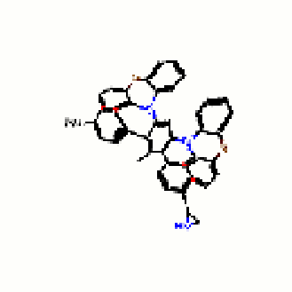 Cc1c(-c2ccc(C#N)cc2)c(N2c3ccccc3Sc3ccccc32)cc(N2c3ccccc3Sc3ccccc32)c1-c1ccc(C2CN2)cc1